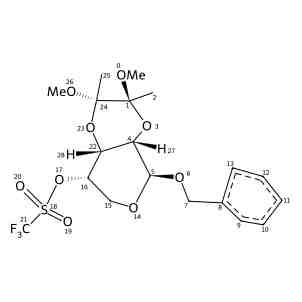 CO[C@@]1(C)O[C@@H]2[C@@H](OCc3ccccc3)OC[C@H](OS(=O)(=O)C(F)(F)F)[C@@H]2O[C@]1(C)OC